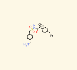 CC(C)Cc1ccc([C@@H](C)C(=O)NS(=O)(=O)Cc2ccc(CN)cc2)cc1